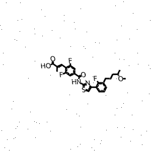 COC(C)CCCc1cccc(-c2csc(NC(=O)c3cc(F)c(C=C(C)C(=O)O)c(F)c3)n2)c1F